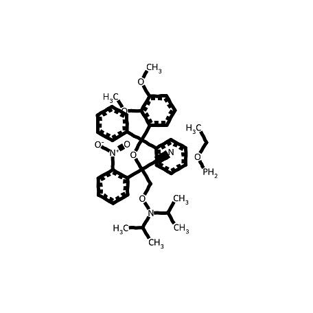 CCOP.COc1cccc(C(OC(C#N)(CON(C(C)C)C(C)C)c2ccccc2[N+](=O)[O-])(c2ccccc2)c2ccccc2)c1OC